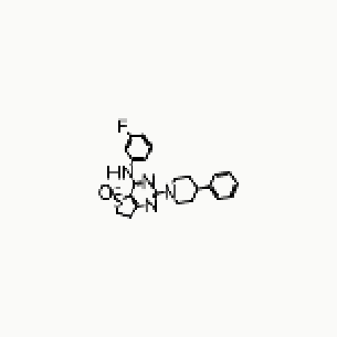 [O-][S+]1CCc2nc(N3CCC(c4ccccc4)CC3)nc(Nc3cccc(F)c3)c21